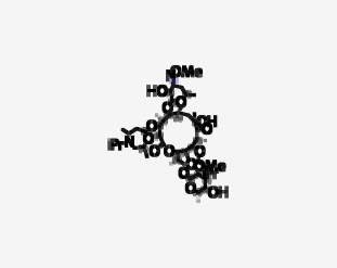 CO/N=C1\C[C@@H](C)O[C@@H](O[C@@H]2[C@@H](C)[C@H](O[C@H]3CC(C)N(C(C)C)C[C@H](C)O3)[C@@H](C)C(=O)O[C@H]([C@@H](C)CO[C@@H]3O[C@@H](C)[C@@H](O)[C@@H](C)[C@H]3OC)[C@H](C)[C@@H](OC(=O)CC(C)C)[C@@H](C)C(=O)[C@@](C)(O)C[C@@H]2C)[C@@H]1O